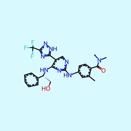 Cc1cc(Nc2ncc(-c3nc(C(F)(F)F)n[nH]3)c(N[C@H](CO)c3ccccc3)n2)ccc1C(=O)N(C)C